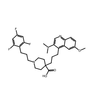 COc1ccc2ncc(N(C)C)c(CCCC3(C(=O)O)CCN(CCCc4c(F)cc(F)cc4F)CC3)c2c1